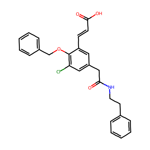 O=C(O)C=Cc1cc(CC(=O)NCCc2ccccc2)cc(Cl)c1OCc1ccccc1